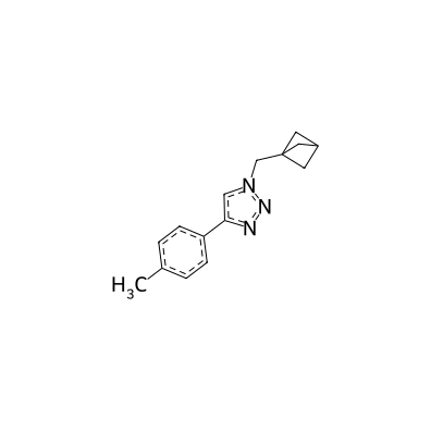 Cc1ccc(-c2cn(CC34CC(C3)C4)nn2)cc1